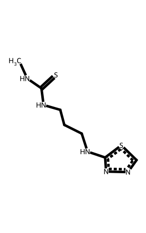 CNC(=S)NCCCNc1nncs1